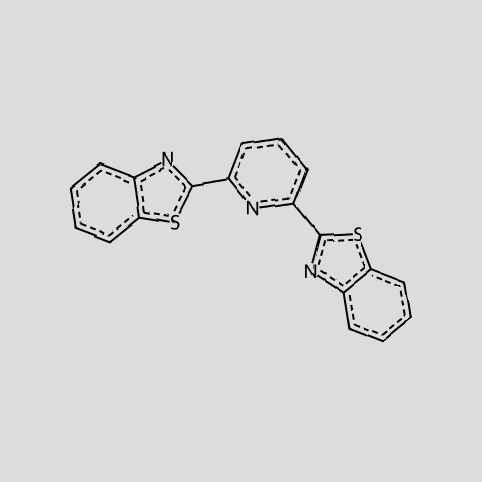 c1cc(-c2nc3ccccc3s2)nc(-c2nc3ccccc3s2)c1